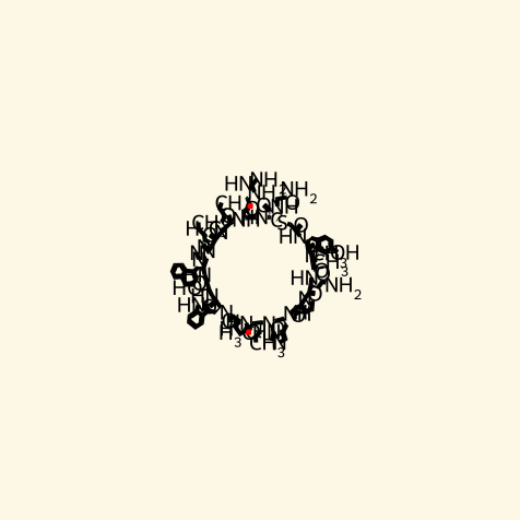 CCCC[C@H]1C(=O)N[C@@H](CCCNC(=N)N)C(=O)N[C@H](C(=O)NCC(N)=O)CSCC(=O)N[C@@H](Cc2ccc(O)cc2)C(=O)N(C)[C@@H](C)C(=O)N[C@@H](CC(N)=O)C(=O)N2CCC[C@H]2C(=O)N[C@@H](Cc2cnc[nH]2)C(=O)N[C@@H](CC(C)C)C(=O)N2CCC[C@H]2C(=O)N[C@@H](Cc2c[nH]c3ccccc23)C(=O)N[C@@H](CO)C(=O)N[C@@H](Cc2cccc3ccccc23)c2nnnn2[C@@H](CCCC)C(=O)N1C